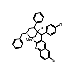 COc1nc2ccc(Br)cc2cc1C(c1ccc(Cl)cc1)C1(O)CCN(Cc2ccccc2)CC1c1ccccc1